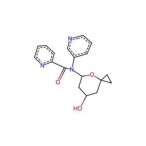 O=C(c1ccccn1)N(c1cccnc1)C1CC(O)CC2(CC2)O1